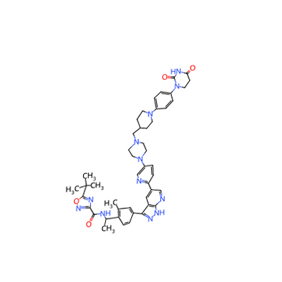 Cc1cc(-c2n[nH]c3ncc(-c4ccc(N5CCN(CC6CCN(c7ccc(N8CCC(=O)NC8=O)cc7)CC6)CC5)cn4)cc23)ccc1C(C)NC(=O)c1noc(C(C)(C)C)n1